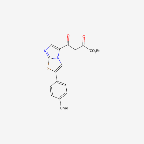 CCOC(=O)C(=O)CC(=O)c1cnc2sc(-c3ccc(OC)cc3)cn12